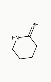 B=C1CCCCN1